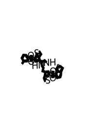 Cc1cccc(S(=O)(=O)n2cc(C(CN)NCCc3cn(S(=O)(=O)c4cccc5ccccc45)c4sccc34)c3ccsc32)c1